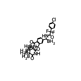 BC(NC(=O)C(F)(F)c1ccc(Cl)cc1)c1ccc2c(c1)CN([C@@]1(B)C(=O)NC(=O)C(B)(B)C1(B)B)C2=O